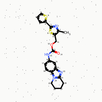 Cc1nc(-c2cccs2)sc1COC(=O)Nc1ccc2c(c1)nc1n2CCCC1